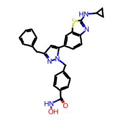 O=C(NO)c1ccc(Cn2nc(Cc3ccccc3)cc2-c2ccc3nc(NC4CC4)sc3c2)cc1